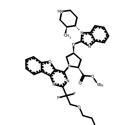 C[C@H]1CNCC[C@@H]1n1c(O[C@H]2C[C@@H](C(=O)OC(C)(C)C)N(c3nc(C(F)(F)COCCCC(=O)O)nc4c3oc3ccccc34)C2)nc2ccccc21